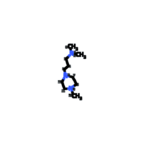 CN(C)CCCN1CCN(C)CC1